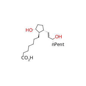 CCCCC[C@@H](O)C=C[C@H]1CC[C@@H](O)[C@@H]1CCCCCCC(=O)O